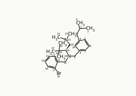 CC(C)Cc1cccc(CN(Cc2ccccc2Br)[C@H](CN(C)C)C(C)(C)C)c1